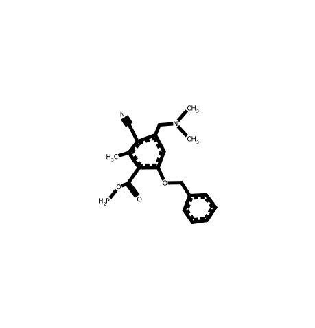 Cc1c(C#N)c(CN(C)C)cc(OCc2ccccc2)c1C(=O)OP